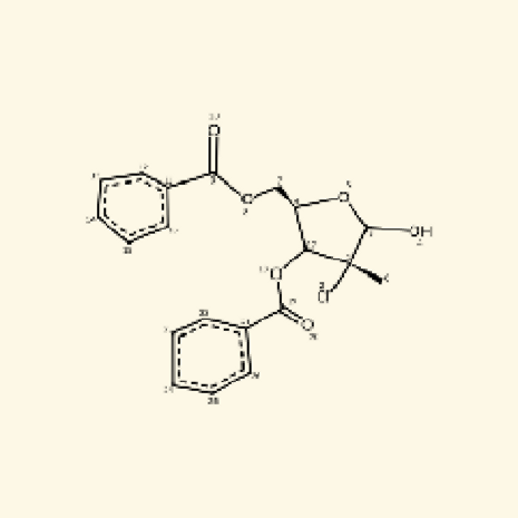 C[C@]1(Cl)C(O)O[C@H](COC(=O)c2ccccc2)C1OC(=O)c1ccccc1